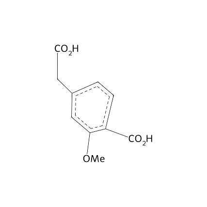 COc1cc(CC(=O)O)ccc1C(=O)O